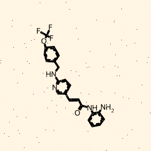 Nc1ccccc1NC(=O)C=Cc1ccc(NCc2ccc(OC(F)(F)F)cc2)nc1